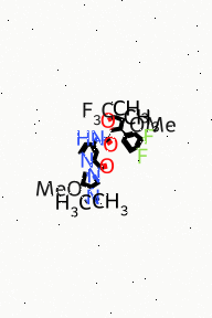 COc1c([C@H]2[C@H](C(=O)Nc3ccnc(C(=O)N4CC(N(C)C)[C@H](OC)C4)c3)O[C@@](C)(C(F)(F)F)[C@H]2C)ccc(F)c1F